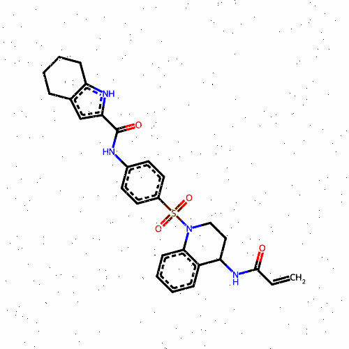 C=CC(=O)NC1CCN(S(=O)(=O)c2ccc(NC(=O)c3cc4c([nH]3)CCCC4)cc2)c2ccccc21